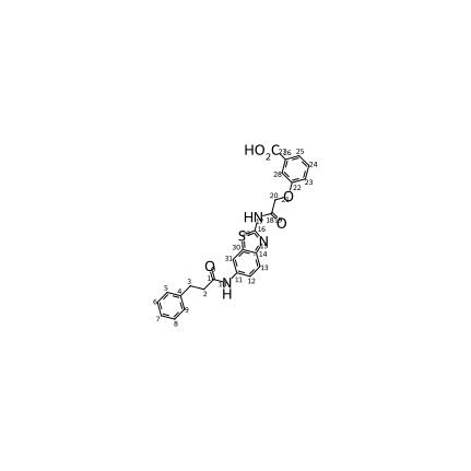 O=C(CCc1ccccc1)Nc1ccc2nc(NC(=O)COc3cccc(C(=O)O)c3)sc2c1